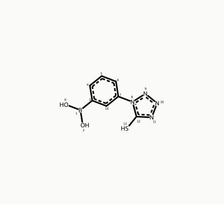 OB(O)c1cccc(-n2nnnc2S)c1